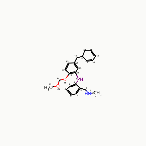 CNCc1ccccc1Pc1cc(CC2C=CC=CC2)ccc1OCOC